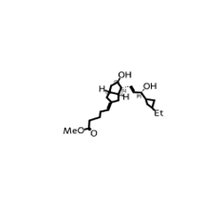 CCC1CC([C@@H](O)C=C[C@@H]2[C@H]3CC(=CCCCC(=O)OC)C[C@@H]3C[C@H]2O)C1